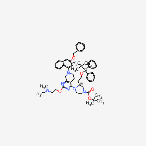 CN(C)CCOc1nc2c(c(N3CCN(C(=O)OC(C)(C)C)C[C@@H]3CCO[Si](c3ccccc3)(c3ccccc3)C(C)(C)C)n1)CCN(c1cc(OCc3ccccc3)cc3ccccc13)C2